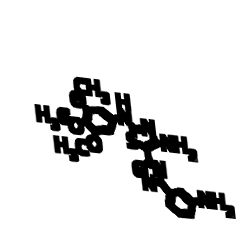 COc1cc(Nc2nc(N)c(-c3nc(-c4cccc(N)c4)no3)s2)cc(OC)c1OC